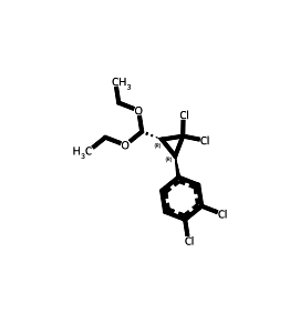 CCOC(OCC)[C@H]1[C@H](c2ccc(Cl)c(Cl)c2)C1(Cl)Cl